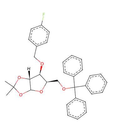 CC1(C)OC2O[C@H](COC(c3ccccc3)(c3ccccc3)c3ccccc3)[C@H](OCc3ccc(F)cc3)[C@H]2O1